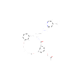 CC(=O)COc1cc2cc(c1)C(=O)N[C@H]([C@H](O)CNCc1cc(C(C)C)ccn1)Cc1cccc(c1)OCCCCO2